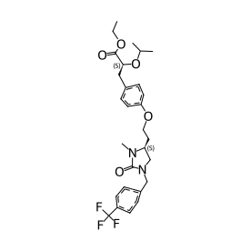 CCOC(=O)[C@H](Cc1ccc(OCC[C@H]2CN(Cc3ccc(C(F)(F)F)cc3)C(=O)N2C)cc1)OC(C)C